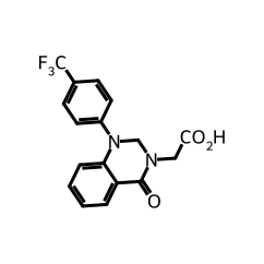 O=C(O)CN1CN(c2ccc(C(F)(F)F)cc2)c2ccccc2C1=O